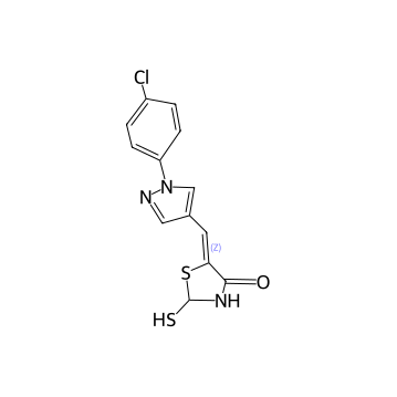 O=C1NC(S)S/C1=C\c1cnn(-c2ccc(Cl)cc2)c1